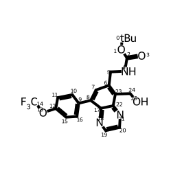 CC(C)(C)OC(=O)NCc1cc(-c2ccc(OC(F)(F)F)cc2)c2nccnc2c1CO